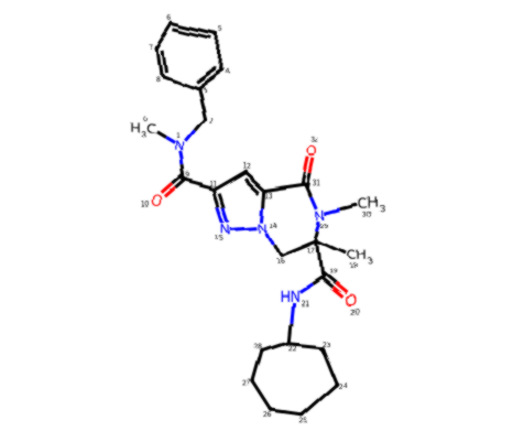 CN(Cc1ccccc1)C(=O)c1cc2n(n1)CC(C)(C(=O)NC1CCCCCC1)N(C)C2=O